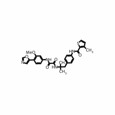 COc1cc(NC(=O)C(=O)NC(C)(C)Cc2ccc(NC(=O)c3sccc3C)cc2)ccc1-c1cnco1